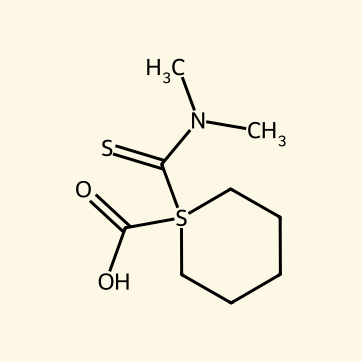 CN(C)C(=S)S1(C(=O)O)CCCCC1